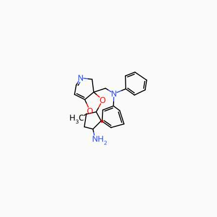 COC1=CC=NCC1(CN(c1ccccc1)c1ccccc1)OC1CCC(N)C1